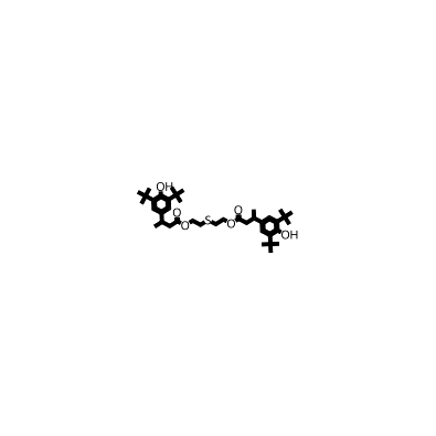 CC(CC(=O)OCCSCCOC(=O)CC(C)c1cc(C(C)(C)C)c(O)c(C(C)(C)C)c1)c1cc(C(C)(C)C)c(O)c(C(C)(C)C)c1